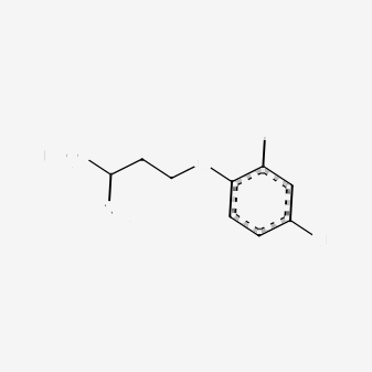 Cc1cc(Cl)ccc1OCCC(N)C(=O)O